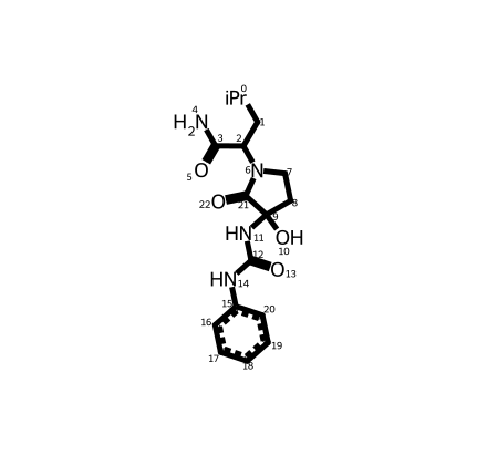 CC(C)CC(C(N)=O)N1CCC(O)(NC(=O)Nc2ccccc2)C1=O